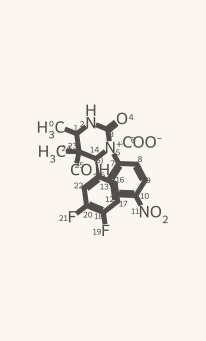 CC1NC(=O)[N+](C(=O)[O-])(c2ccc([N+](=O)[O-])cc2)[C@@H](c2ccc(F)c(F)c2)C1(C)C(=O)O